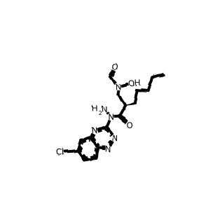 CCCCC[C@H](CN(O)C=O)C(=O)N(N)c1nnc2ccc(Cl)cc2n1